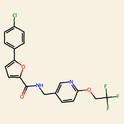 O=C(NCc1ccc(OCC(F)(F)F)nc1)c1ccc(-c2ccc(Cl)cc2)o1